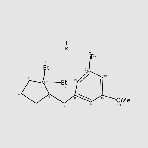 CC[N+]1(CC)CCCC1Cc1cc(OC)cc(C(C)C)c1.[I-]